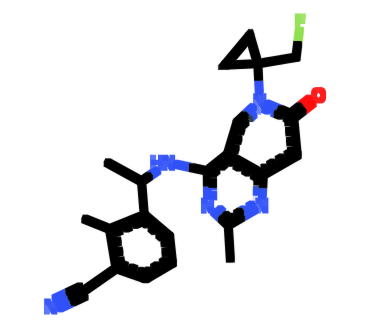 Cc1nc(NC(C)c2cccc(C#N)c2C)c2cn(C3(CF)CC3)c(=O)cc2n1